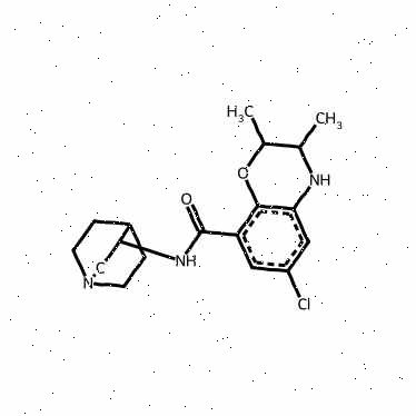 CC1Nc2cc(Cl)cc(C(=O)NC3CN4CCC3CC4)c2OC1C